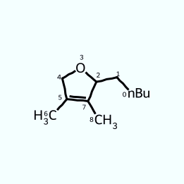 CCCCCC1OCC(C)=C1C